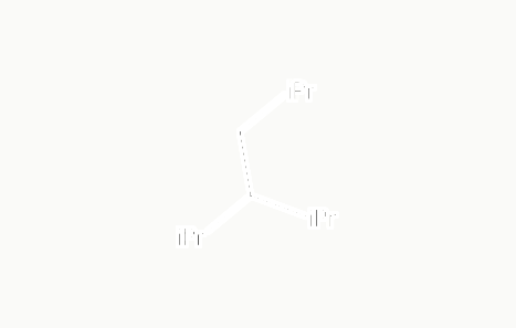 [CH2]C(C)C(CC(C)C)C(C)C